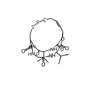 CC(C)C1NC(=O)CC2/C=C\CCSSCC(NC1=O)C(=O)NCC(=O)NC(C(C)C)C(=O)O2